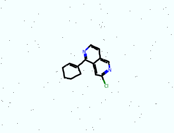 Clc1cc2c(C3=CCCCC3)nccc2cn1